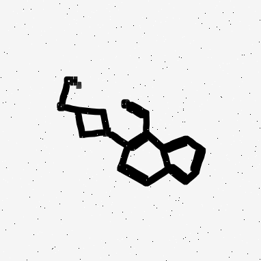 COC1CN(c2ccc3ccccc3c2C=O)C1